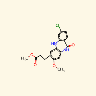 COC(=O)CCc1cc2c(cc1OC)NC(=O)c1ccc(Cl)cc1N2